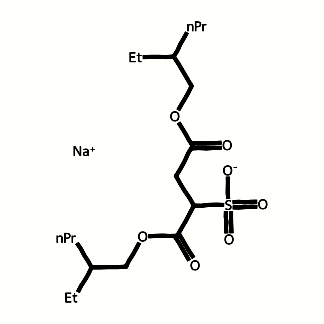 CCCC(CC)COC(=O)CC(C(=O)OCC(CC)CCC)S(=O)(=O)[O-].[Na+]